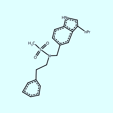 [CH2]CCc1c[nH]c2ccc(CN(CCc3ccccc3)S(C)(=O)=O)cc12